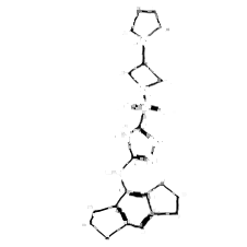 O=S(=O)(c1nnc(Nc2c3c(cc4c2CCC4)CCC3)[nH]1)N1CC(N2CCCC2)C1